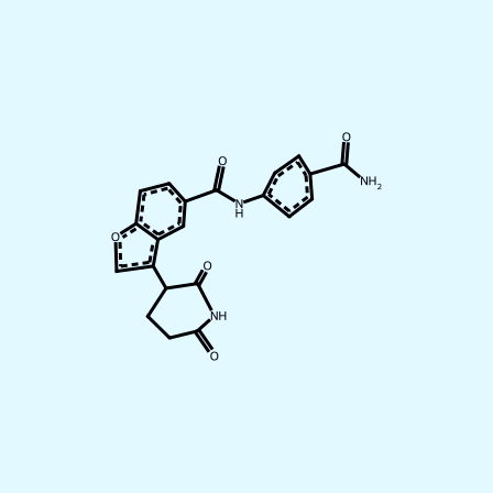 NC(=O)c1ccc(NC(=O)c2ccc3occ(C4CCC(=O)NC4=O)c3c2)cc1